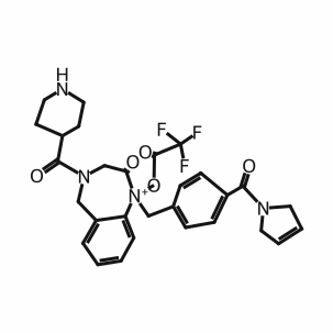 O=C(c1ccc(C[N+]2(OC(=O)C(F)(F)F)C(=O)CN(C(=O)C3CCNCC3)Cc3ccccc32)cc1)N1CC=CC1